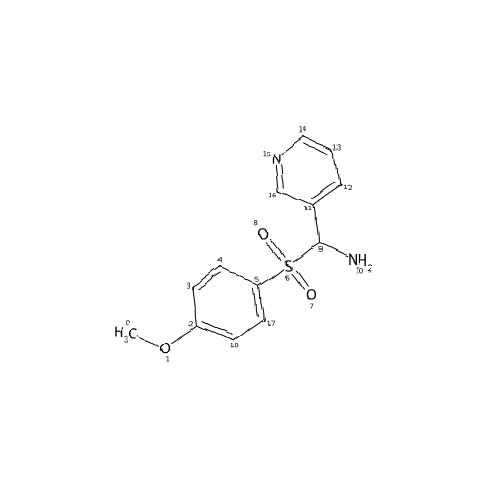 COc1ccc(S(=O)(=O)C(N)c2cccnc2)cc1